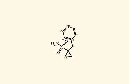 NS(=O)(=O)C1(Cc2ccncc2)CC1